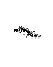 COc1cc(N(C)c2cccc(NC(=O)NCc3ccc4c(c3)CN(C3CCC(=O)NC3=O)C4=O)c2)c([N+](=O)[O-])cc1OC